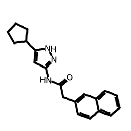 O=C(Cc1ccc2ccccc2c1)Nc1cc(C2CCCC2)[nH]n1